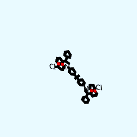 CC(C)(c1ccc(N(C=C(c2ccccc2)c2ccccc2)c2ccc(Cl)cc2)cc1)c1ccc(N(C=C(c2ccccc2)c2ccccc2)c2ccc(Cl)cc2)cc1